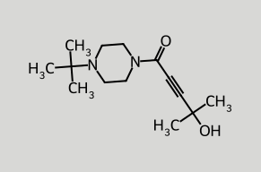 CC(C)(O)C#CC(=O)N1CCN(C(C)(C)C)CC1